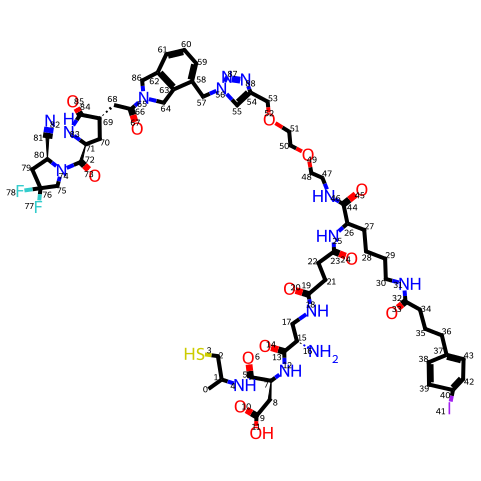 CC(CS)NC(=O)[C@H](CC(=O)O)NC(=O)[C@@H](N)CNC(=O)CCC(=O)NC(CCCCNC(=O)CCCc1ccc(I)cc1)C(=O)NCCOCCOCc1cn(Cc2cccc3c2CN(C(=O)C[C@@H]2C[C@@H](C(=O)N4CC(F)(F)C[C@H]4C#N)NC2=O)C3)nn1